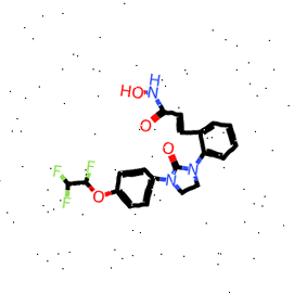 O=C(/C=C/c1ccccc1N1CCN(c2ccc(OC(F)C(F)F)cc2)C1=O)NO